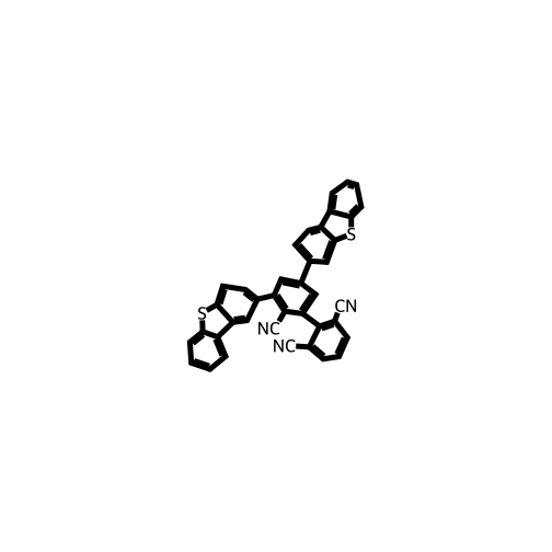 N#Cc1cccc(C#N)c1-c1cc(-c2ccc3c(c2)sc2ccccc23)cc(-c2ccc3sc4ccccc4c3c2)c1C#N